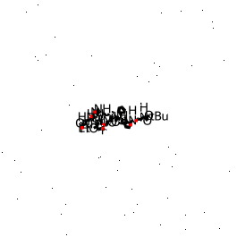 CCC(=O)NCCNC(=O)/N=C(/N)NCCC[C@@H](NC(=O)[C@H](c1ccccc1)N1Cc2cccc(NCCCNC(=O)OC(C)(C)C)c2C1)C(=O)NCc1c(F)cc(O)cc1F